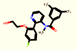 CN(C(=O)c1cc(C(F)(F)F)cc(C(F)(F)F)c1)c1cccnc1-c1ccc(F)cc1OCCO